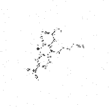 CCCCOc1c(OC(C)=O)c(=O)[nH]c2cc([N+](=O)[O-])ccc12